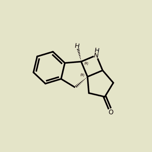 O=C1CC2N[C@@H]3c4ccccc4C[C@@]23C1